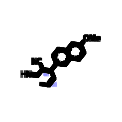 C/C=C\C(=C(\C#N)C=N)c1ccc2cc(OC)ccc2c1